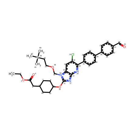 CCOC(=O)CC1CCC(Oc2nc3nc(-c4ccc(-c5ccc(C=O)cc5)cc4)c(Cl)cc3n2COCC[Si](C)(C)C)CC1